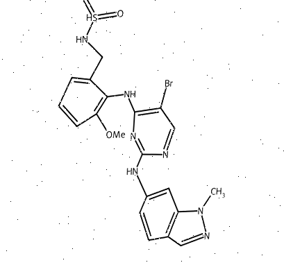 COc1cccc(CN[SH](=O)=O)c1Nc1nc(Nc2ccc3cnn(C)c3c2)ncc1Br